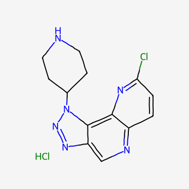 Cl.Clc1ccc2ncc3nnn(C4CCNCC4)c3c2n1